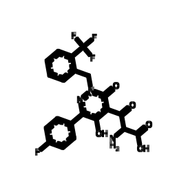 NC(C(=O)O)C(=O)c1c(O)c(-c2ccc(F)cc2)nn(Cc2ccccc2C(F)(F)F)c1=O